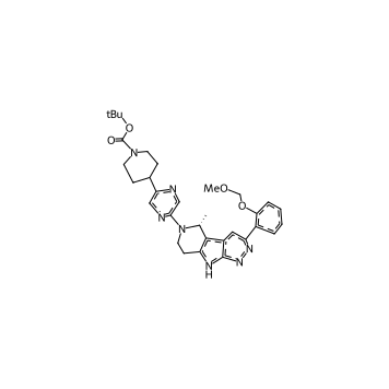 COCOc1ccccc1-c1cc2c3c([nH]c2nn1)CCN(c1cnc(C2CCN(C(=O)OC(C)(C)C)CC2)cn1)[C@@H]3C